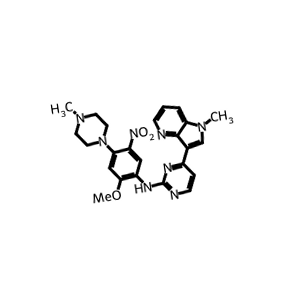 COc1cc(N2CCN(C)CC2)c([N+](=O)[O-])cc1Nc1nccc(-c2cn(C)c3cccnc23)n1